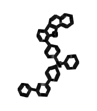 c1ccc(-c2cccc(-c3ccc(N(c4ccccc4)c4ccc(-c5cccc6c5oc5c7ccccc7ccc65)cc4)cc3)c2)cc1